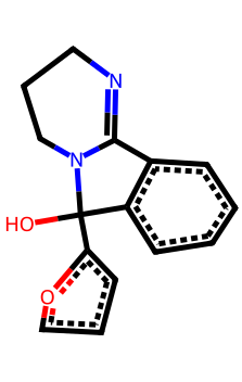 OC1(c2ccco2)c2ccccc2C2=NCCCN21